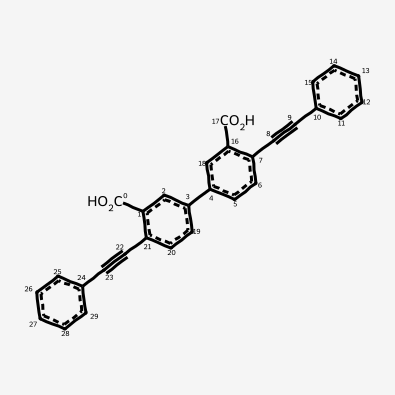 O=C(O)c1cc(-c2ccc(C#Cc3ccccc3)c(C(=O)O)c2)ccc1C#Cc1ccccc1